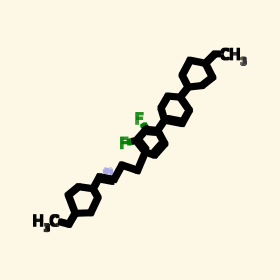 CCC1CCC(/C=C/CCc2ccc(C3=CCC(C4CCC(CC)CC4)CC3)c(F)c2F)CC1